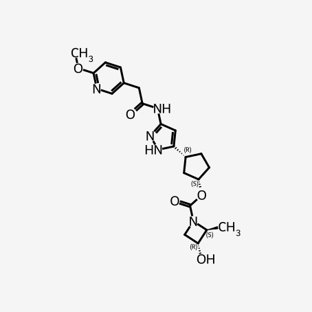 COc1ccc(CC(=O)Nc2cc([C@@H]3CC[C@H](OC(=O)N4C[C@@H](O)[C@@H]4C)C3)[nH]n2)cn1